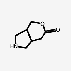 O=C1CC2CNCC2CO1